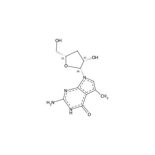 Cc1cn([C@@H]2O[C@H](CO)C[C@@H]2O)c2nc(N)[nH]c(=O)c12